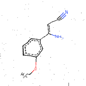 COc1cccc(/C(N)=C/C#N)c1